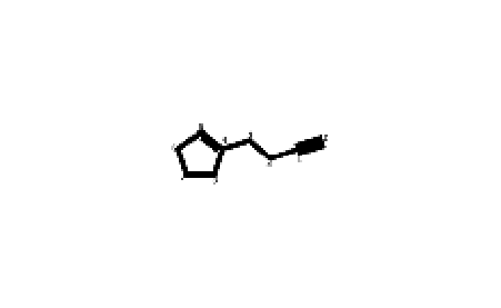 [C]#CCCC1=CCCC1